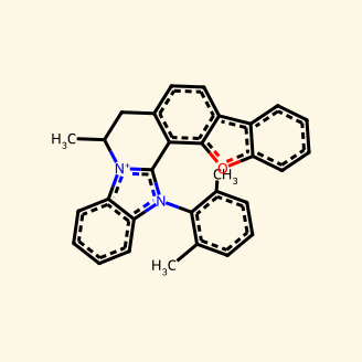 Cc1cccc(C)c1-n1c2[n+](c3ccccc31)C(C)Cc1ccc3c(oc4ccccc43)c1-2